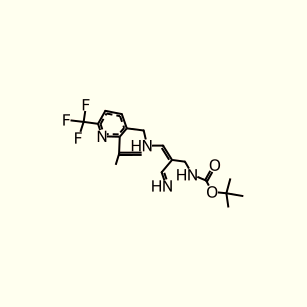 C=C(C)c1nc(C(F)(F)F)ccc1CN/C=C(\C=N)CNC(=O)OC(C)(C)C